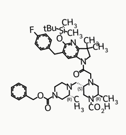 C[C@@H]1CN(C(=O)OCc2ccccc2)CCN1C[C@H]1CN(C(=O)O)[C@H](C)CN1CC(=O)N1CC(C)(C)c2nc(O[Si](C)(C)C(C)(C)C)c(Cc3ccc(F)cc3)cc21